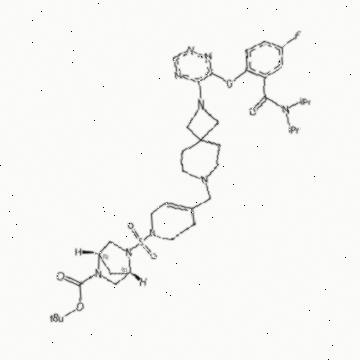 CC(C)N(C(=O)c1cc(F)ccc1Oc1nncnc1N1CC2(CCN(CC3=CCN(S(=O)(=O)N4C[C@@H]5C[C@H]4CN5C(=O)OC(C)(C)C)CC3)CC2)C1)C(C)C